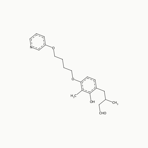 Cc1c(OCCCCOc2cccnc2)ccc(CC(C)CC=O)c1O